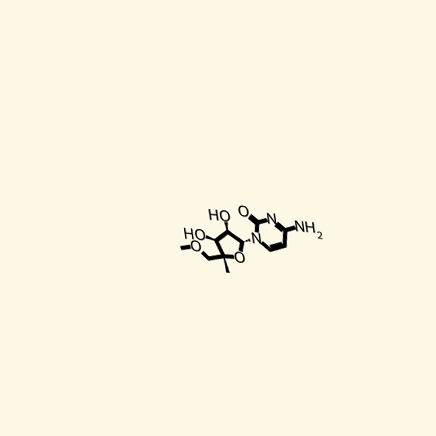 COC[C@@]1(C)O[C@@H](n2ccc(N)nc2=O)[C@H](O)[C@@H]1O